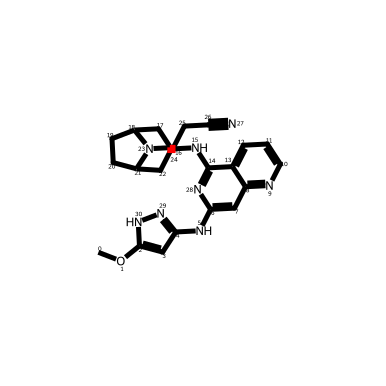 COc1cc(Nc2cc3ncccc3c(NC3CC4CCC(C3)N4CCC#N)n2)n[nH]1